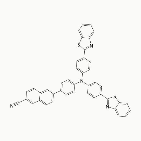 N#Cc1ccc2cc(-c3ccc(N(c4ccc(-c5nc6ccccc6s5)cc4)c4ccc(-c5nc6ccccc6s5)cc4)cc3)ccc2c1